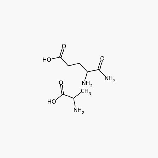 CC(N)C(=O)O.NC(=O)C(N)CCC(=O)O